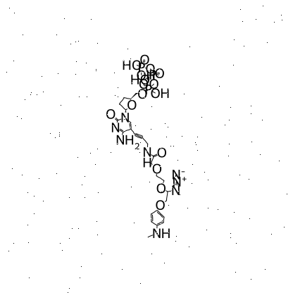 CNc1ccc(OCC(N=[N+]=[N-])OCCOCC(=O)NCC#Cc2cn([C@H]3CC[C@@H](COP(=O)(O)OP(=O)(O)OP(=O)(O)O)O3)c(=O)nc2N)cc1